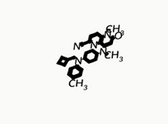 Cc1ccc(N(CC2CCC2)[C@H]2CC[C@@H](N(C)c3cc(=O)n(C)c4ccc(C#N)nc34)CC2)cc1